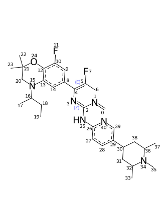 C=N/C(=N\C(=C(/C)F)c1cc(F)c2c(c1)N(C(C)CC)CC(C)(C)O2)Nc1ccc(C2CC(C)N(C)C(C)C2)cn1